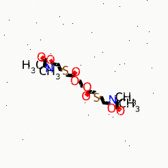 CC1(C)N=C(CCSCC(=O)OCCOC(=O)CSCCC2=NC(C)(C)C(=O)O2)OC1=O